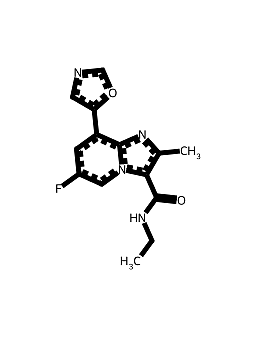 CCNC(=O)c1c(C)nc2c(-c3cnco3)cc(F)cn12